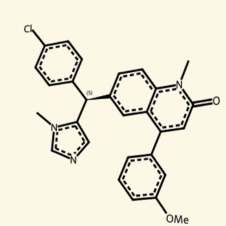 COc1cccc(-c2cc(=O)n(C)c3ccc([C@H](c4ccc(Cl)cc4)c4cncn4C)cc23)c1